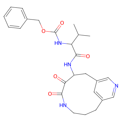 CC(C)C(NC(=O)OCc1ccccc1)C(=O)NC1Cc2cncc(c2)CCCNC(=O)C1=O